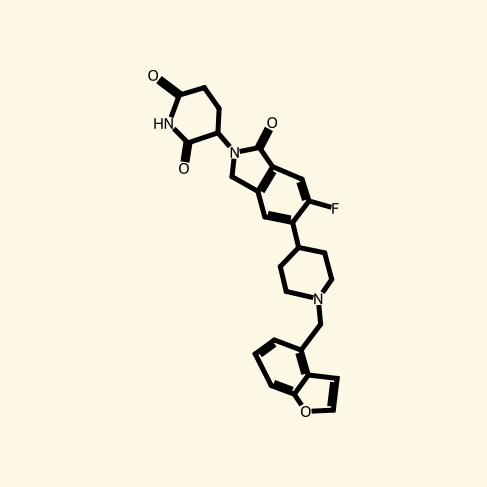 O=C1CCC(N2Cc3cc(C4CCN(Cc5cccc6occc56)CC4)c(F)cc3C2=O)C(=O)N1